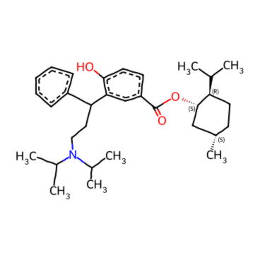 CC(C)[C@H]1CC[C@H](C)C[C@@H]1OC(=O)c1ccc(O)c(C(CCN(C(C)C)C(C)C)c2ccccc2)c1